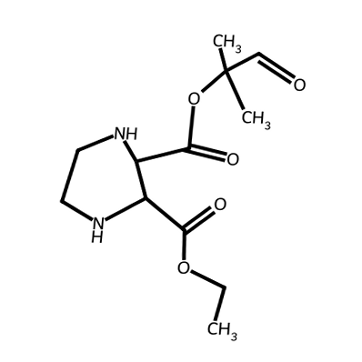 CCOC(=O)C1NCCNC1C(=O)OC(C)(C)C=O